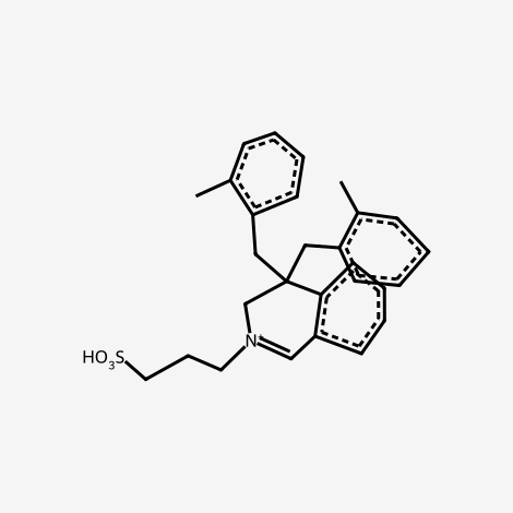 Cc1ccccc1CC1(Cc2ccccc2C)C[N+](CCCS(=O)(=O)O)=Cc2ccccc21